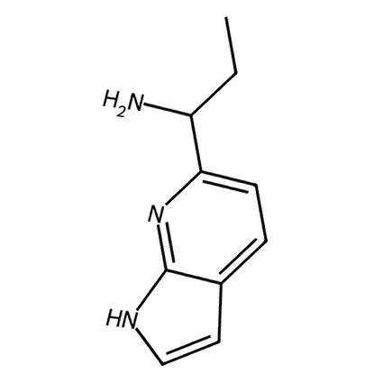 CCC(N)c1ccc2cc[nH]c2n1